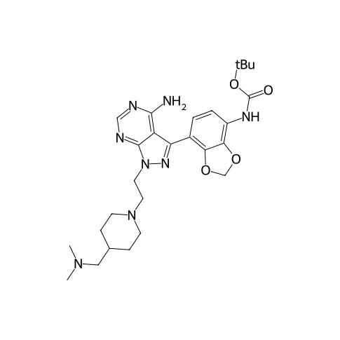 CN(C)CC1CCN(CCn2nc(-c3ccc(NC(=O)OC(C)(C)C)c4c3OCO4)c3c(N)ncnc32)CC1